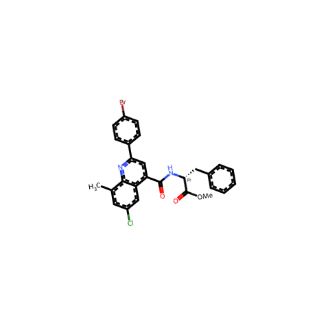 COC(=O)[C@@H](Cc1ccccc1)NC(=O)c1cc(-c2ccc(Br)cc2)nc2c(C)cc(Cl)cc12